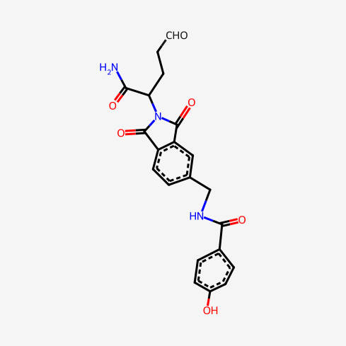 NC(=O)C(CCC=O)N1C(=O)c2ccc(CNC(=O)c3ccc(O)cc3)cc2C1=O